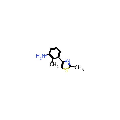 Cc1nc(-c2cccc(N)c2C)cs1